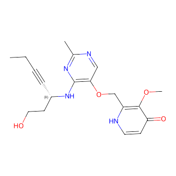 CCC#C[C@@H](CCO)Nc1nc(C)ncc1OCc1[nH]ccc(=O)c1OC